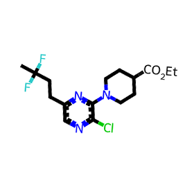 CCOC(=O)C1CCN(c2nc(CCC(C)(F)F)cnc2Cl)CC1